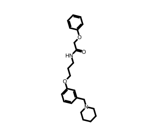 O=C(COc1ccccc1)NCCCOc1cccc(CN2CCCCC2)c1